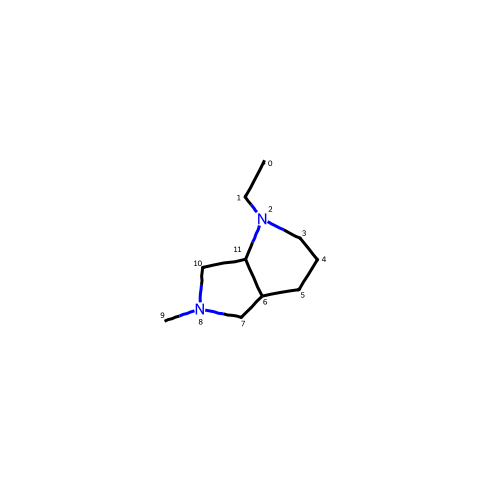 [CH2]CN1CCCC2CN(C)CC21